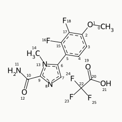 COc1ccc(-c2cnc(C(N)=O)n2C)c(F)c1F.O=C(O)C(F)(F)F